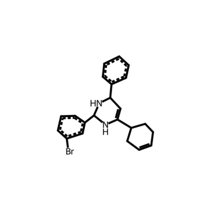 Brc1cccc(C2NC(C3CC=CCC3)=CC(c3ccccc3)N2)c1